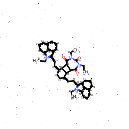 CCN1C(=O)C2C(C(=O)N(CC)C1=O)C1/C(=C\C=c3\c4cccc5cccc(c54)n3CC)CC/C(=C/C=c3/c4cccc5cccc(c54)n3CC)C21